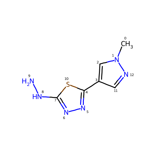 Cn1cc(-c2nnc(NN)s2)cn1